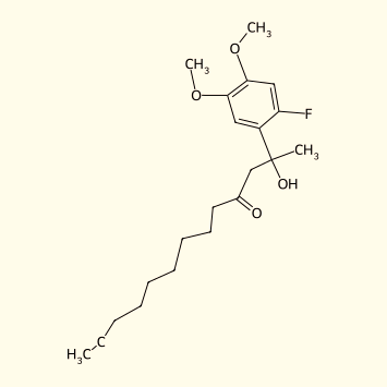 CCCCCCCCCC(=O)CC(C)(O)c1cc(OC)c(OC)cc1F